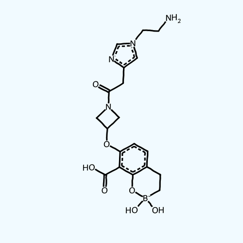 NCCn1cnc(CC(=O)N2CC(Oc3ccc4c(c3C(=O)O)O[B-](O)(O)CC4)C2)c1